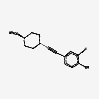 CCCCCCC[C@H]1CC[C@H](C#Cc2ccc(C#N)c(F)c2)CC1